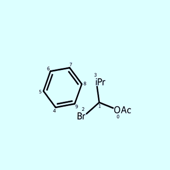 CC(=O)OC(Br)C(C)C.c1ccccc1